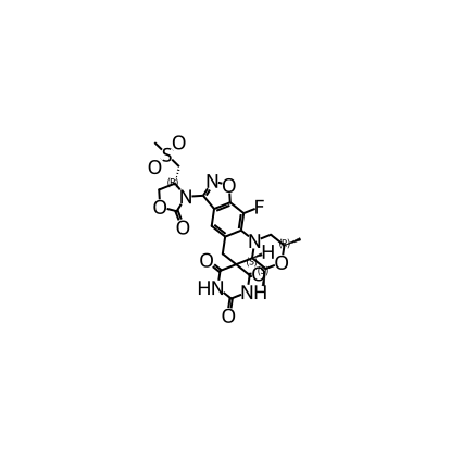 C[C@@H]1CN2c3c(cc4c(N5C(=O)OC[C@@H]5CS(C)(=O)=O)noc4c3F)CC3(C(=O)NC(=O)NC3=O)[C@H]2[C@H](C)O1